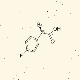 O=C(O)[C@H](Br)c1ccc(F)cc1